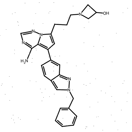 Nc1ncnn2c(CCCN3CC(O)C3)cc(-c3ccc4cn(Cc5ccccc5)nc4c3)c12